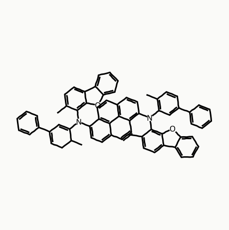 Cc1ccc(-c2ccccc2)cc1N(c1ccc2ccc3c(N(C4=CC(c5ccccc5)=CCC4C)c4c(C)ccc5c4oc4ccccc45)ccc4c#cc1c2c43)c1c(C)ccc2c1oc1ccccc12